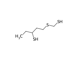 CCC(S)CCSCS